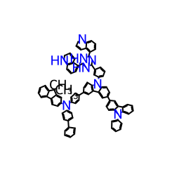 CC1(C)c2ccccc2-c2ccc(N(c3ccc(-c4ccccc4)cc3)c3ccc(-c4ccc5c(c4)c4cc(-c6ccc7c(c6)c6ccccc6n7-c6ccccc6)ccc4n5-c4cccc(C5N=C(c6cccc7ncccc67)NC(c6cccc7c6C=CCN7)N5)c4)cc3)cc21